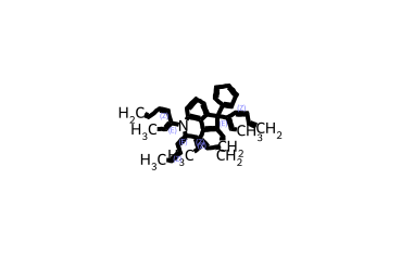 C=C/C=C\C1=C(C=C)C(C(/C=C\C=C)=C/C)(c2ccccc2)c2cccc(N(C(/C=C\C=C)=C/C)C(/C=C\C)=C/C=C\C)c21